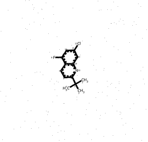 CC(C)(C)c1ccc2c(F)cc(Cl)cc2n1